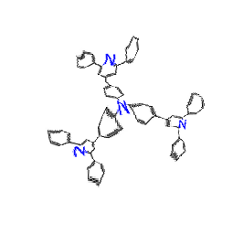 c1ccc(-c2cc(-c3ccc(N(c4ccc(-c5cc(-c6ccccc6)nc(-c6ccccc6)c5)cc4)c4ccc(-c5cc(-c6ccccc6)nc(-c6ccccc6)c5)cc4)cc3)cc(-c3ccccc3)n2)cc1